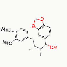 COc1ccc(C[C@@H](C)[C@@H](C)C(O)c2ccc3c(c2)OCO3)cc1OC